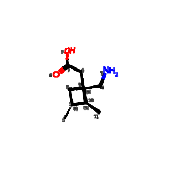 C[C@@H]1C[C@](CN)(CC(=O)O)[C@H]1C